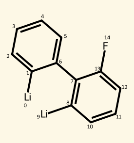 [Li][c]1ccccc1-c1[c]([Li])cccc1F